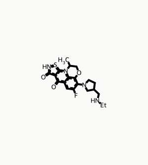 CCNCC1CCN(c2c(F)cc3c(=O)c4c(=O)[nH]sc4n4c3c2OCC4C)C1